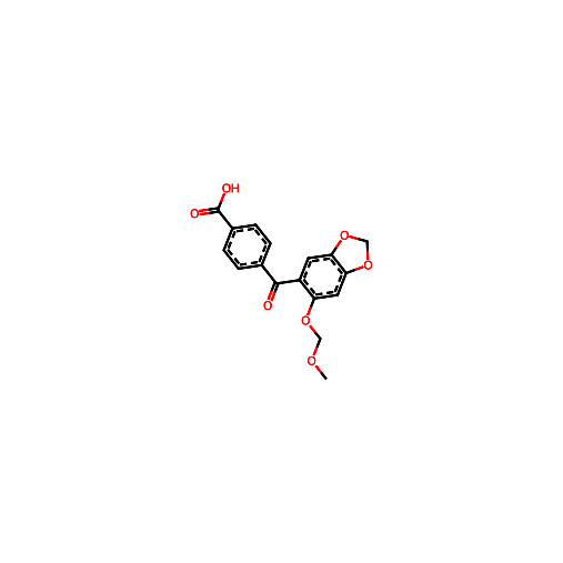 COCOc1cc2c(cc1C(=O)c1ccc(C(=O)O)cc1)OCO2